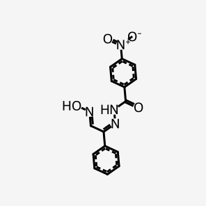 O=C(N/N=C(\C=N\O)c1ccccc1)c1ccc([N+](=O)[O-])cc1